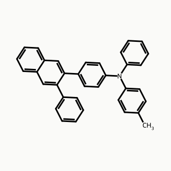 Cc1ccc(N(c2ccccc2)c2ccc(-c3cc4ccccc4cc3-c3ccccc3)cc2)cc1